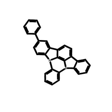 c1ccc(-c2ccc3c(c2)c2ccc4c5c2n3-c2ccccc2B5c2ccccc2-4)cc1